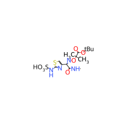 CC(C)(C)OC(=O)C(C)(C)ON=C(C([NH])=O)c1csc(NS(=O)(=O)O)n1